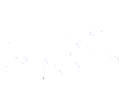 C[C@@H]1CN(c2ncnc3c2C2(CCC2)CN3c2cc(C#N)ccn2)[C@@H](C)CN1C(=O)C(C)(C)C